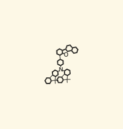 CC1(C)c2ccccc2-c2ccc(N(c3ccc(-c4cccc5c4oc4c6ccccc6ccc54)cc3)c3cccc4c3-c3ccccc3C4(C)C)cc21